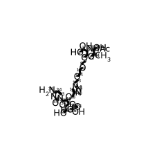 CC(=O)NC(C(O)O)C(OCCOCCOCCn1cc(COC2C(OP(=O)(O)O)[C@@H](CO)O[C@H]2n2ccc(N)nc2=O)nn1)OC(C)CO